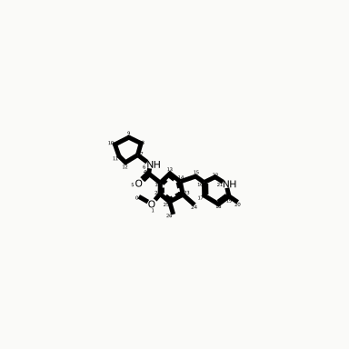 COc1c(C(=O)NC2CCCCC2)cc(CC2=CC=C(C)NC2)c(C)c1C